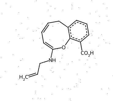 C=CCN/C1=C/C=C\Cc2cccc(C(=O)O)c2O1